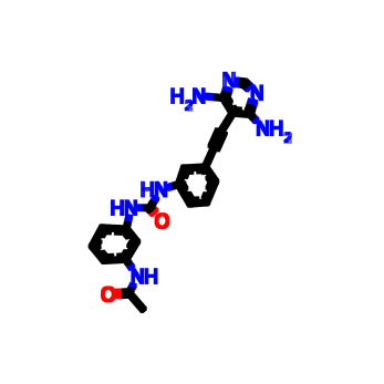 CC(=O)Nc1cccc(NC(=O)Nc2cccc(C#Cc3c(N)ncnc3N)c2)c1